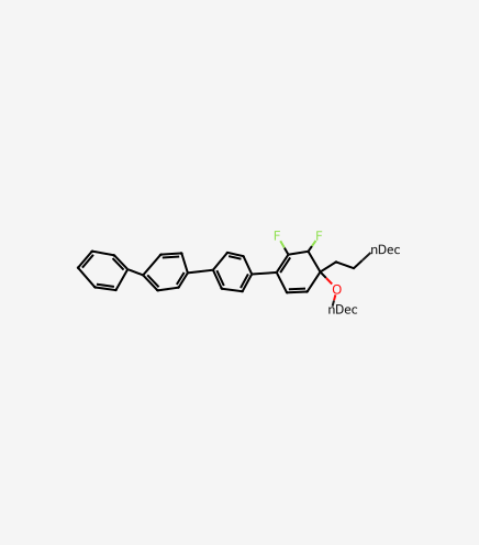 CCCCCCCCCCCCC1(OCCCCCCCCCC)C=CC(c2ccc(-c3ccc(-c4ccccc4)cc3)cc2)=C(F)C1F